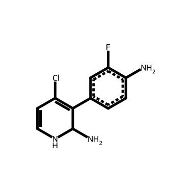 Nc1ccc(C2=C(Cl)C=CNC2N)cc1F